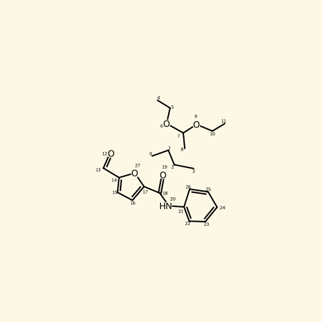 CCCC.CCOC(C)OCC.O=Cc1ccc(C(=O)Nc2ccccc2)o1